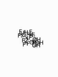 FC(F)(F)C[SiH](CC(F)(F)F)CC(F)(F)F.O=P(O)(O)O